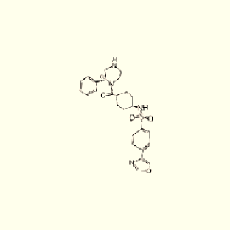 O=C([C@H]1CC[C@H](NS(=O)(=O)c2ccc(-c3cocn3)cc2)CC1)N1CCNC[C@@H]1c1ccccc1